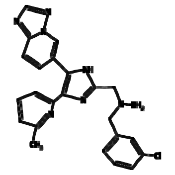 BN(Cc1cccc(Cl)c1)Cc1nc(-c2cccc(C)n2)c(-c2ccc3ncnn3c2)[nH]1